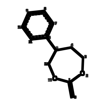 C=C1OCCC(c2ccccc2)CO1